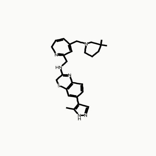 Cc1[nH]ncc1-c1ccc2c(c1)SCC(NCC1=NCC=CC(CN3CCCC(C)(C)C3)=C1)=N2